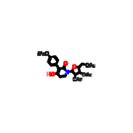 COc1ccc(-c2c(O)ccn(C3OC(COC(C)=O)C(OC(C)=O)C3OC(C)=O)c2=O)cc1